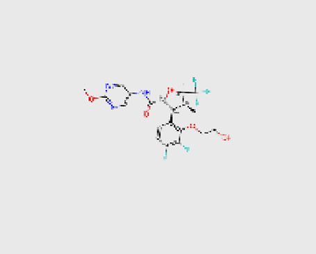 COc1ncc(NC(=O)[C@@H]2O[C@@](C)(C(F)(F)F)[C@@H](C)[C@H]2c2ccc(F)c(F)c2OCCO)cn1